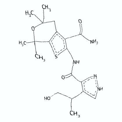 CC(CO)c1c[nH]nc1C(=O)Nc1sc2c(c1C(N)=O)CC(C)(C)OC2(C)C